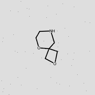 [CH]1OCC12CNCCO2